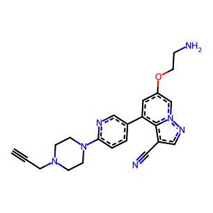 C#CCN1CCN(c2ccc(-c3cc(OCCN)cn4ncc(C#N)c34)cn2)CC1